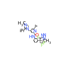 CC(C)[C@H]1CN(C)CCN1Cc1cc(C(=O)Nc2cccc(C3([C@H](F)c4nncn4C)CC(F)(F)C3)c2)nc(C2CC2)c1